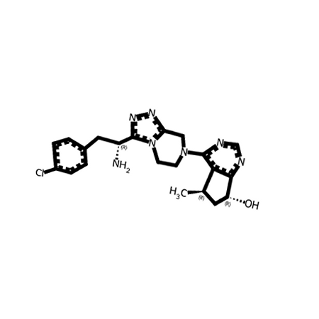 C[C@@H]1C[C@@H](O)c2ncnc(N3CCn4c(nnc4[C@H](N)Cc4ccc(Cl)cc4)C3)c21